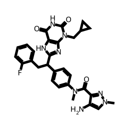 CN(C(=O)c1nn(C)cc1N)c1ccc(C(Cc2ccccc2F)c2nc3c([nH]2)c(=O)[nH]c(=O)n3CC2CC2)cc1